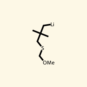 [Li][CH2]C(C)(C)CSCOC